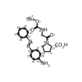 CC(C)(C)OC(=O)NCC(=O)N1CCC[C@H]1C(=O)O.Nc1ccc(/N=N/c2ccccc2)cc1